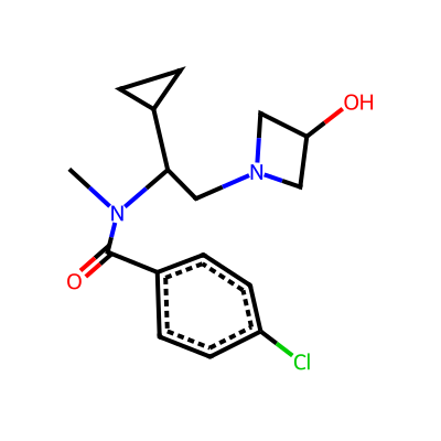 CN(C(=O)c1ccc(Cl)cc1)C(CN1CC(O)C1)C1CC1